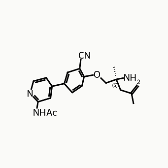 C=C(C)C[C@](C)(N)COc1ccc(-c2ccnc(NC(C)=O)c2)cc1C#N